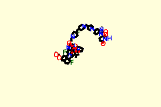 COCOc1cc(-c2ncc3c(N4CC5CCC(C4)N5C(=O)OC(C)(C)C)nc(OCCN4CCC(F)(CC5CCN(CC6CCN(c7ccc8c(c7)n(C)c(=O)n8C7CCC(=O)NC7=O)CC6)CC5)CC4)nc3c2F)c2c(C#C[Si](C(C)C)(C(C)C)C(C)C)c(F)ccc2c1